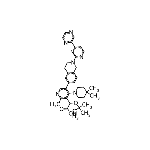 Cc1ncc(-c2ccc3c(c2)CCN(c2nccc(-c4cnccn4)n2)C3)c(N2CCC(C)(C)CC2)c1C(OC(C)(C)C)C(=O)O